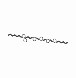 CCCCCCCOC(=O)CCCOCCOCCOCCOCCCCCC